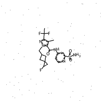 Cc1c(C(C)(F)F)nn(CC2CC3(C2)CC3F)c1C(=O)Nc1ccnc(S(N)(=O)=O)c1